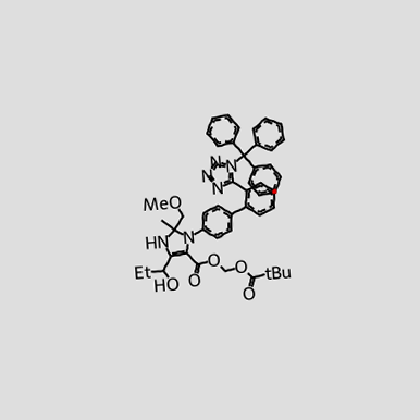 CCC(O)C1=C(C(=O)OCOC(=O)C(C)(C)C)N(c2ccc(-c3ccccc3-c3nnnn3C(c3ccccc3)(c3ccccc3)c3ccccc3)cc2)C(C)(COC)N1